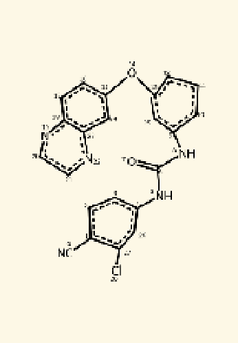 N#Cc1ccc(NC(=O)Nc2cccc(Oc3ccc4nccnc4c3)c2)cc1Cl